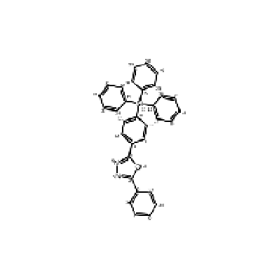 c1ccc(-c2nnc(-c3ccc([Si](c4ccccc4)(c4ccccc4)c4ccccc4)cc3)o2)cc1